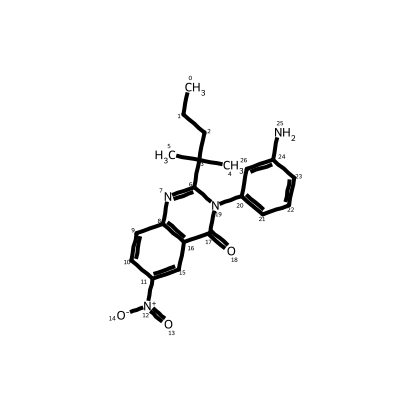 CCCC(C)(C)c1nc2ccc([N+](=O)[O-])cc2c(=O)n1-c1cccc(N)c1